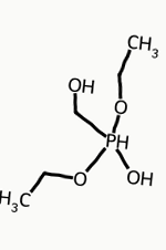 CCO[PH](O)(CO)OCC